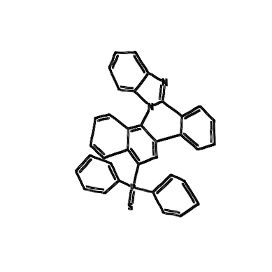 S=P(c1ccccc1)(c1ccccc1)c1cc2c3ccccc3c3nc4ccccc4n3c2c2ccccc12